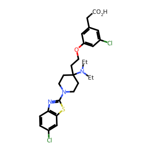 CCN(CC)C1(CCOc2cc(Cl)cc(CC(=O)O)c2)CCN(c2nc3ccc(Cl)cc3s2)CC1